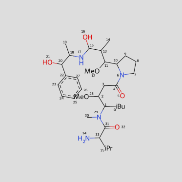 CCC(C)C(C(CC(=O)N1CCCC1C(OC)C(C)C(O)NC(C)C(O)c1ccccc1)OC)N(C)C(=O)C(N)C(C)C